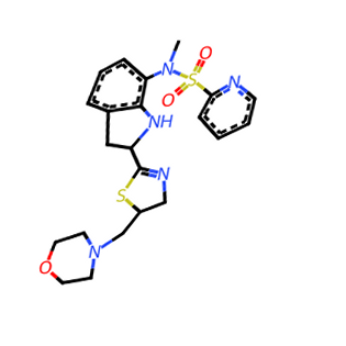 CN(c1cccc2c1NC(C1=NCC(CN3CCOCC3)S1)C2)S(=O)(=O)c1ccccn1